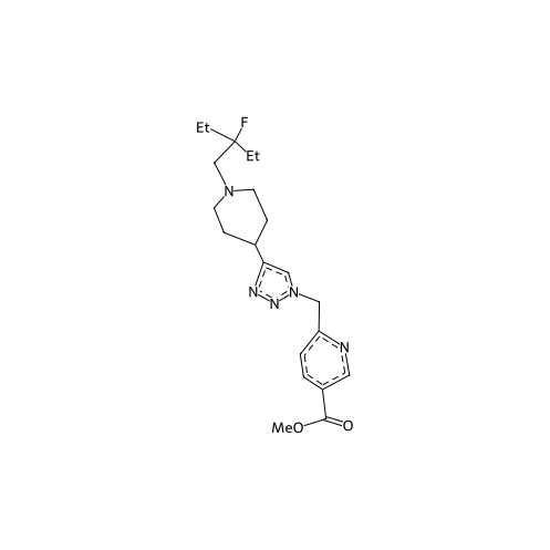 CCC(F)(CC)CN1CCC(c2cn(Cc3ccc(C(=O)OC)cn3)nn2)CC1